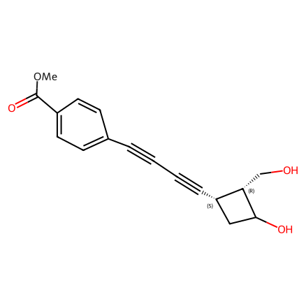 COC(=O)c1ccc(C#CC#C[C@H]2CC(O)[C@H]2CO)cc1